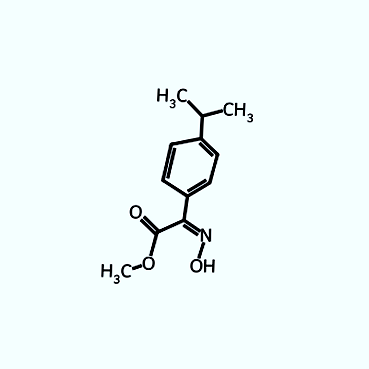 COC(=O)C(=NO)c1ccc(C(C)C)cc1